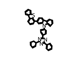 C1=CCC(c2nc(-c3ccccc3)nc(-c3ccc(-n4c5ccccc5c5ccc(-c6cccc7c6sc6ccccc67)cc54)cc3)n2)C=C1